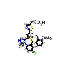 COc1cccc([C@H]2S[C@H](CCc3ncc(CC(=O)O)s3)c3nnc(C(F)(F)F)n3-c3ccc(Cl)cc32)c1OC